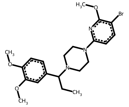 CCC(c1ccc(OC)c(OC)c1)N1CCN(c2ccc(Br)c(OC)n2)CC1